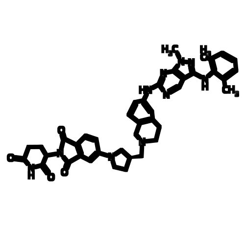 Cc1cccc(C)c1Nc1nn(C)c2nc(Nc3ccc4c(c3)CCN(C[C@H]3CCN(c5ccc6c(c5)C(=O)N(C5CCC(=O)NC5=O)C6=O)C3)C4)ncc12